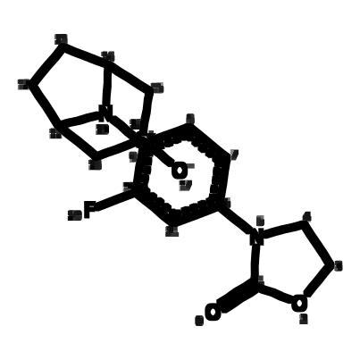 O=C1OCCN1c1ccc(N2C3CCC2C[S+]([O-])C3)c(F)c1